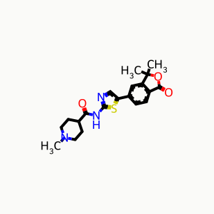 CN1CCC(C(=O)Nc2ncc(-c3ccc4c(c3)C(C)(C)OC4=O)s2)CC1